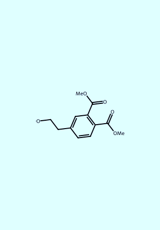 COC(=O)c1ccc(CC[O])cc1C(=O)OC